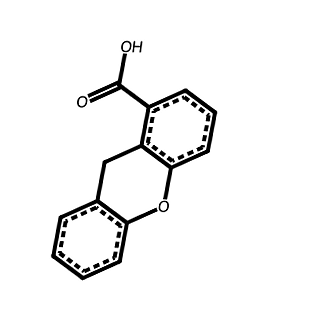 O=C(O)c1cccc2c1Cc1ccccc1O2